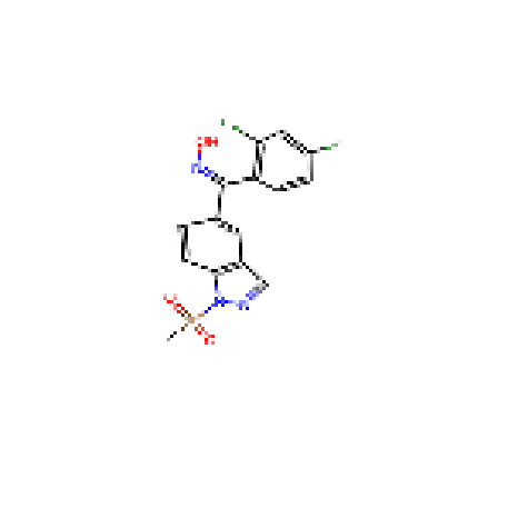 CS(=O)(=O)n1ncc2cc(/C(=N/O)c3ccc(F)cc3F)ccc21